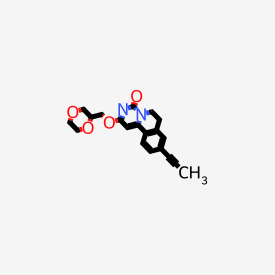 CC#Cc1ccc2c(c1)CCn1c-2cc(OCC2COCCO2)nc1=O